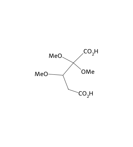 COC(CC(=O)O)C(OC)(OC)C(=O)O